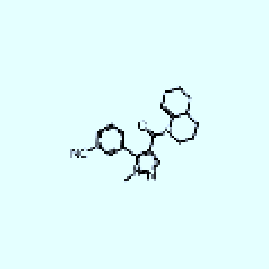 Cn1ncc(C(=O)N2CCCC3CCCC=C32)c1-c1cccc(C#N)c1